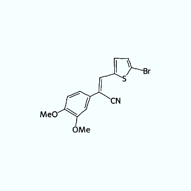 COc1ccc(C(C#N)=Cc2ccc(Br)s2)cc1OC